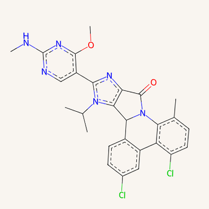 CNc1ncc(-c2nc3c(n2C(C)C)C2c4ccc(Cl)cc4-c4c(Cl)ccc(C)c4N2C3=O)c(OC)n1